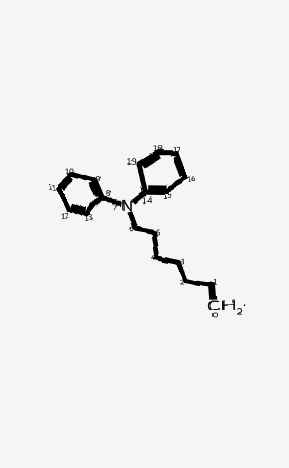 [CH2]CCCCCCN(c1ccccc1)c1ccccc1